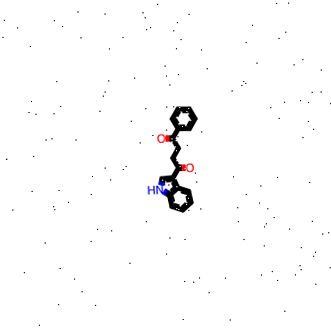 O=C(CCC(=O)c1c[nH]c2ccccc12)c1ccccc1